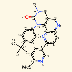 CSc1ccc(-c2ccc3ncc4c(c3n2)N(c2ccc(C(C)(C)C#N)cc2)C(=O)N(C)C4)cn1